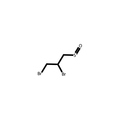 O=[S+]CC(Br)CBr